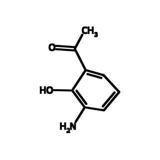 CC(=O)c1cccc(N)c1O